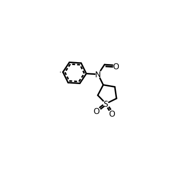 O=CN(c1cc[c]cc1)C1CCS(=O)(=O)C1